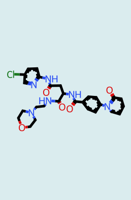 O=C(CC(NC(=O)c1ccc(-n2ccccc2=O)cc1)C(=O)NCCN1CCOCC1)Nc1ccc(Cl)cn1